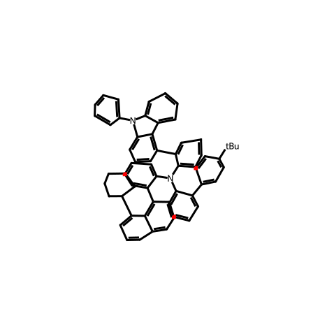 CC(C)(C)c1ccc(-c2ccccc2N(c2ccccc2-c2cccc3cccc(C4CCCCC4)c23)c2ccccc2-c2cccc3c2c2ccccc2n3-c2ccccc2)cc1